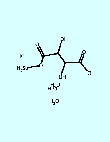 O.O.O.O=C([O-])C(O)C(O)C(=O)[O][SbH2].[K+]